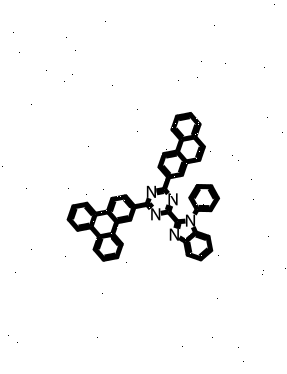 c1ccc(-n2c(-c3nc(-c4ccc5c(ccc6ccccc65)c4)nc(-c4ccc5c6ccccc6c6ccccc6c5c4)n3)nc3ccccc32)cc1